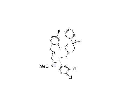 CO/N=C(\COCc1ccc(F)cc1F)C(CCN1CCC(O)(c2ccccc2)CC1)c1ccc(Cl)c(Cl)c1